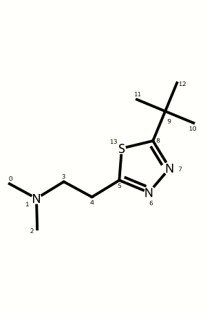 CN(C)CCc1nnc(C(C)(C)C)s1